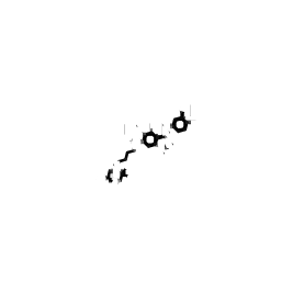 CC1(C)COC(=O)CN1CCCCOc1cc2ncnc(Nc3ccc(F)c(Cl)c3)c2cc1N